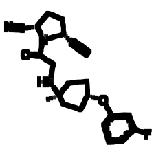 C#C[C@H]1CC[C@@H](C#N)N1C(=O)CN[C@]1(C)CC[C@@H](Oc2cccc(F)c2)CC1